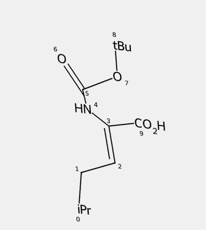 CC(C)CC=C(NC(=O)OC(C)(C)C)C(=O)O